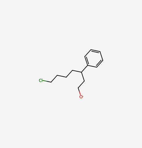 [O]CCC(CCCCCl)c1ccccc1